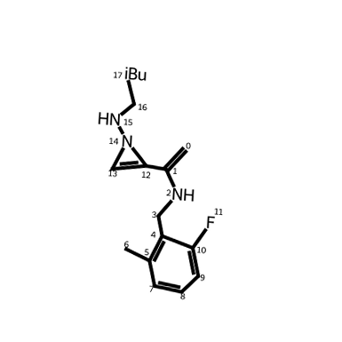 C=C(NCc1c(C)cccc1F)C1=CN1NCC(C)CC